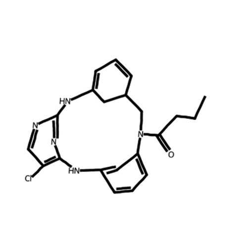 CCCC(=O)N1CC2C=CC=C(C2)Nc2ncc(Cl)c(n2)Nc2cccc1c2